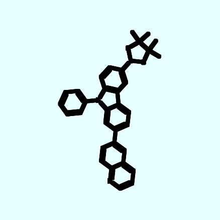 CC1(C)OB(c2ccc3c(c2)c2ccc(-c4ccc5ncccc5c4)cc2n3-c2ccccc2)OC1(C)C